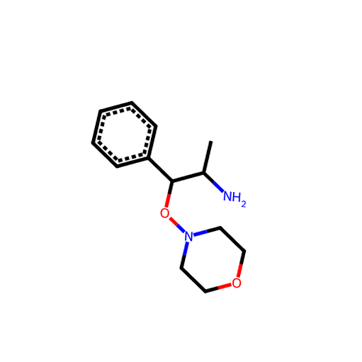 CC(N)C(ON1CCOCC1)c1ccccc1